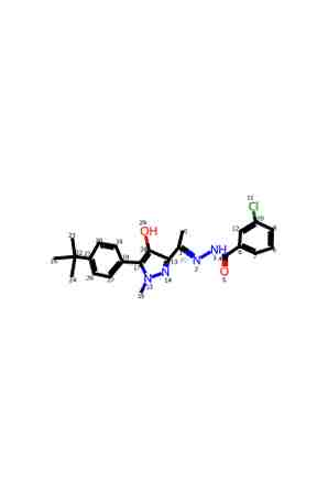 C/C(=N\NC(=O)c1cccc(Cl)c1)c1nn(C)c(-c2ccc(C(C)(C)C)cc2)c1O